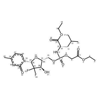 CCOC(=O)COP(=O)(N[C@@H](CC(C)C)C(=O)OCC)OC[C@H]1O[C@@H](n2ccc(C)nc2=O)C(F)(F)[C@@H]1O